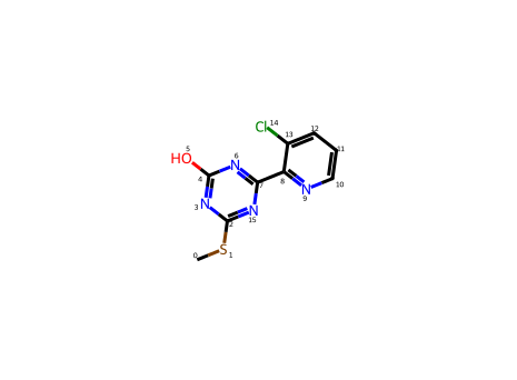 CSc1nc(O)nc(-c2ncccc2Cl)n1